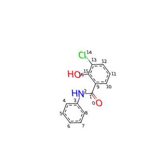 O=C(Nc1ccccc1)c1cccc(Cl)c1O